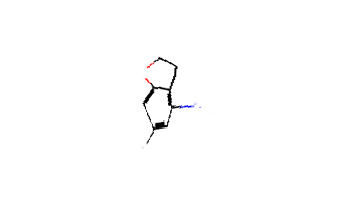 CCCCc1cc(N)c2c(c1)OCC2